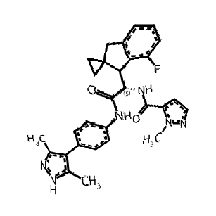 Cc1n[nH]c(C)c1-c1ccc(NC(=O)[C@@H](NC(=O)c2ccnn2C)C2c3c(F)cccc3CC23CC3)cc1